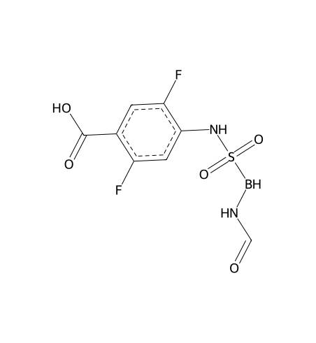 O=CNBS(=O)(=O)Nc1cc(F)c(C(=O)O)cc1F